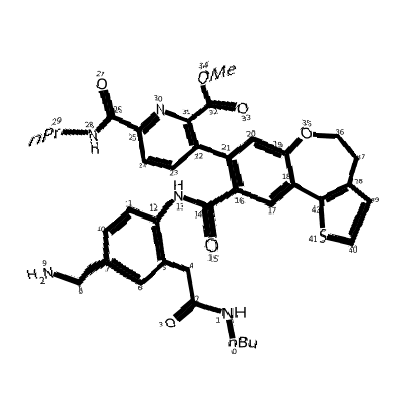 CCCCNC(=O)Cc1cc(CN)ccc1NC(=O)c1cc2c(cc1-c1ccc(C(=O)NCCC)nc1C(=O)OC)OCCc1ccsc1-2